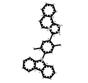 Cc1cc(-n2c3ccccc3c3ccccc32)c(C)cc1-c1nnc2c3ccccc3ccn12